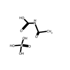 CC(=O)NC(=O)O.O=P(O)(O)O